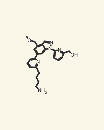 COCc1cc(-c2cccc(CCCCN)n2)cc2c1cnn2-c1cccc(CO)n1